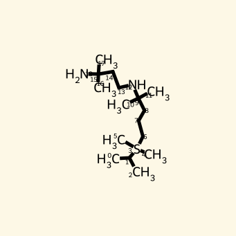 CC(C)S(C)(C)CCCC(C)(C)NCCC(C)(C)N